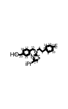 CC(C)c1csc(N(CCc2ccc(F)cc2)Cc2ccc(CO)cc2)n1